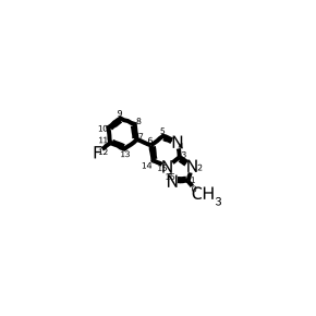 Cc1nc2ncc(-c3cccc(F)c3)cn2n1